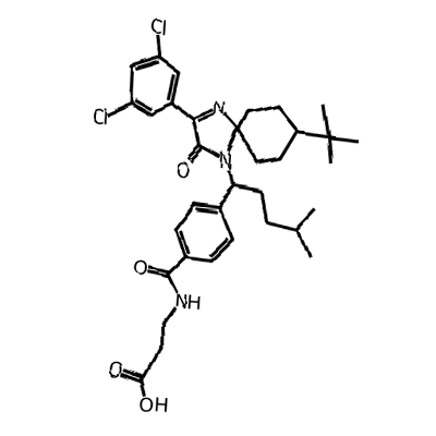 CC(C)CCC(c1ccc(C(=O)NCCC(=O)O)cc1)N1C(=O)C(c2cc(Cl)cc(Cl)c2)=NC12CCC(C(C)(C)C)CC2